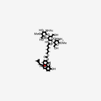 CO[C@@H]1OC(CO)[C@@H](O[C@@H]2OC(CO)[C@@H](O[C@@H]3OC(CO)[C@@H](OC)[C@H](O)C3NC(C)=O)[C@H](O)C2NC(=O)CCCCCOC(=O)OC2=CC[C@@]3(O)[C@H]4Cc5ccc(O)c6c5[C@@]3(CCN4CC3CC3)[C@H]2O6)[C@H](O)C1N